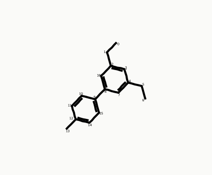 CCc1[c]c(CC)cc(-c2ccc(C)cc2)c1